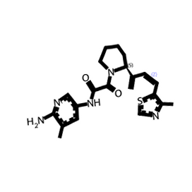 C=C(/C=C\c1scnc1C)[C@@H]1CCCCN1C(=O)C(=O)Nc1cnc(N)c(C)c1